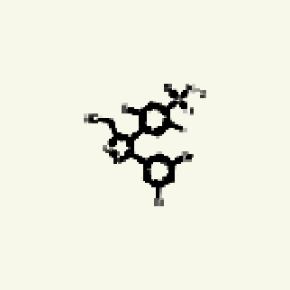 NS(=O)(=O)c1cc(F)c(-c2c(-c3cc(Br)cc(Br)c3)noc2CO)cc1F